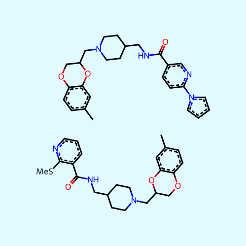 CSc1ncccc1C(=O)NCC1CCN(CC2COc3ccc(C)cc3O2)CC1.Cc1ccc2c(c1)OC(CN1CCC(CNC(=O)c3ccc(-n4cccc4)nc3)CC1)CO2